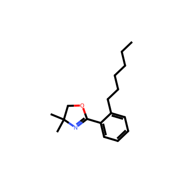 CCCCCCc1ccccc1C1=NC(C)(C)CO1